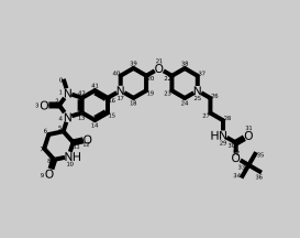 Cn1c(=O)n(C2CCC(=O)NC2=O)c2ccc(N3CCC(OC4CCN(CCCNC(=O)OC(C)(C)C)CC4)CC3)cc21